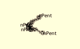 CCCCC[C@H]1CC[C@H](CCCCc2ccc(C(=O)O[C@@H](C(=O)OCCC)[C@@H](OC(=O)c3ccc(CCCC[C@H]4CC[C@H](CCCCC)CC4)cc3)C(=O)OCCC)cc2)CC1